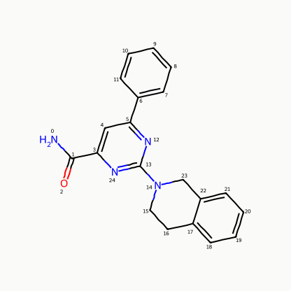 NC(=O)c1cc(-c2ccccc2)nc(N2CCc3ccccc3C2)n1